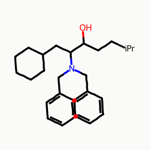 CC(C)CCC(O)C(CC1CCCCC1)N(Cc1ccccc1)Cc1ccccc1